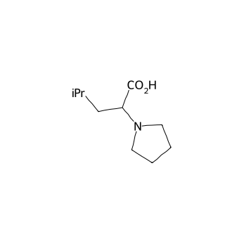 CC(C)CC(C(=O)O)N1CCCC1